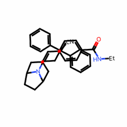 CCNC(=O)c1ccc(C=C2CC3CCC(C2)N3CCC(C#N)(c2ccccc2)c2ccccc2)cc1